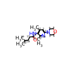 Cc1cc(N2CCOCC2)nc(C)c1NC(=O)CCC(C)C